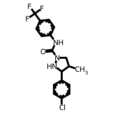 CC1CN(C(=O)Nc2ccc(C(F)(F)F)cc2)NC1c1ccc(Cl)cc1